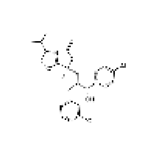 C=CC[C@@](C)(C[C@H](Cc1cccc(Cl)c1)[C@@H](O)c1ccc(Cl)cc1)C1=NC(C(C)C)CO1